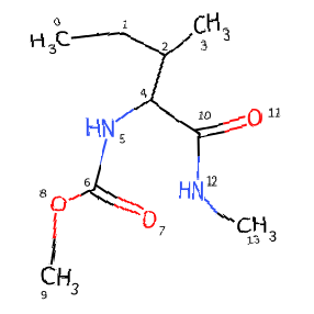 CCC(C)C(NC(=O)OC)C(=O)NC